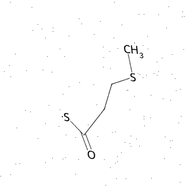 CSCCC(=O)[S]